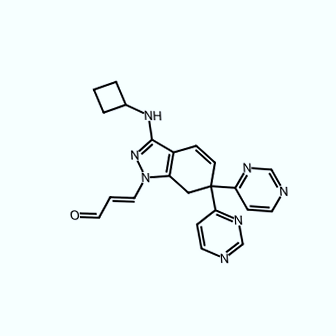 O=CC=Cn1nc(NC2CCC2)c2c1CC(c1ccncn1)(c1ccncn1)C=C2